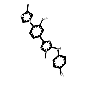 COc1cc(-c2nc(Nc3ccc(C(F)(F)F)cc3)n(C)n2)ccc1-n1cnc(C)c1